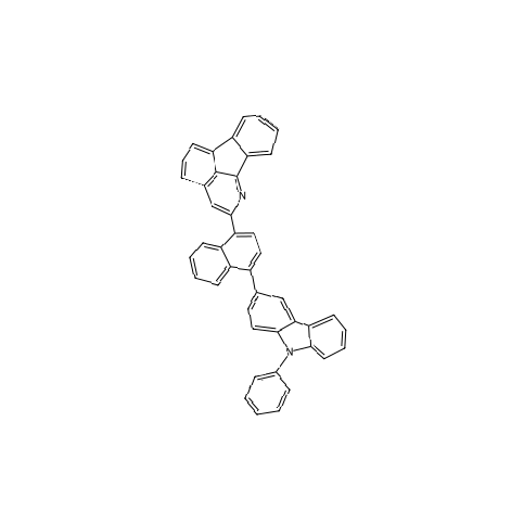 c1ccc(-n2c3ccccc3c3cc(-c4ccc(-c5cc6cccc7c6c(n5)-c5ccccc5-7)c5ccccc45)ccc32)cc1